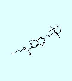 CCCCOC(=O)c1ccc2cc(C=CC3=C(C)CCCC3(C)C)ccc2c1